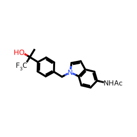 CC(=O)Nc1ccc2c(ccn2Cc2ccc(C(C)(O)C(F)(F)F)cc2)c1